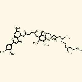 CC(=O)Oc1cc(OC(=O)CCC(=O)Oc2c(C)c(C)c3c(c2C)CCC(C)(CCCC(C)CCCC(C)CCCC(C)C)O3)c2c(=O)cc(-c3ccc(OC(C)=O)c(OC(C)=O)c3)oc2c1